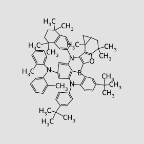 Cc1ccccc1N(c1cc2c3c(c1)N(c1ccc4c(c1)C(C)(C)CCC4(C)C)c1c(oc4c1C1(C)CC1CC4(C)C)B3c1cc(C(C)(C)C)ccc1N2c1ccc(C(C)(C)C)cc1)c1ccccc1C